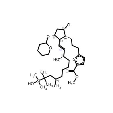 COC(=O)c1ccc(CCC[C@@H]2[C@@H](/C=C/[C@@H](O)CCCC[C@@H](C)CC(C)(C)[Si](C)(C)O)[C@H](OC3CCCCO3)C[C@H]2Cl)s1